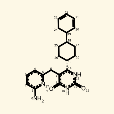 Nc1cccc(Cc2c(=O)[nH]c(=O)[nH]c2[C@H]2CC[C@H](C3C=CC=CC3)CC2)n1